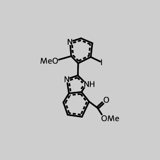 COC(=O)c1cccc2nc(-c3c(I)ccnc3OC)[nH]c12